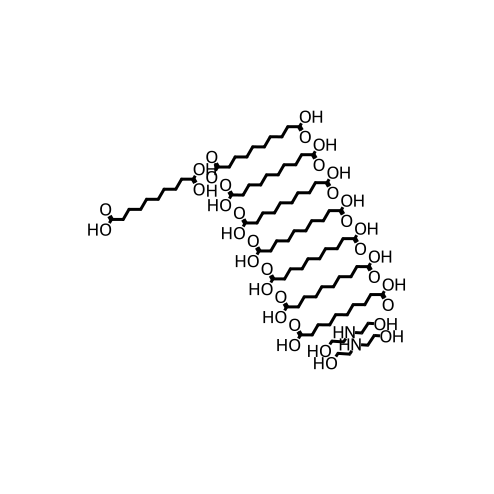 O=C(O)CCCCCCCCC(=O)O.O=C(O)CCCCCCCCC(=O)O.O=C(O)CCCCCCCCC(=O)O.O=C(O)CCCCCCCCC(=O)O.O=C(O)CCCCCCCCC(=O)O.O=C(O)CCCCCCCCC(=O)O.O=C(O)CCCCCCCCC(=O)O.O=C(O)CCCCCCCCC(=O)O.OCCNCCO.OCCNCCO